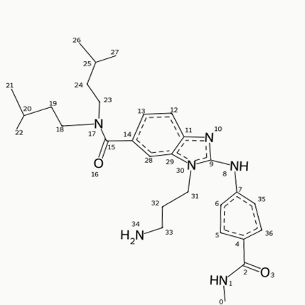 CNC(=O)c1ccc(Nc2nc3ccc(C(=O)N(CCC(C)C)CCC(C)C)cc3n2CCCN)cc1